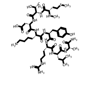 CN[C@@H](CCSC)C(=O)N[C@H](C(=O)N[C@@H](CC(=O)O)C(=O)N[C@@H](CCCCN)C(=O)N[C@@H](Cc1ccc(O)cc1)C(=O)N[C@@H](CCCNC(=N)N)C(=O)N[C@@H](CC(C)C)C(=O)N[C@@H](C)C(N)=O)[C@@H](C)O